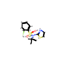 CC(C)(C)N(c1nccs1)S(=O)(=O)c1ccccc1F